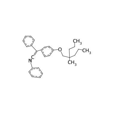 CCCC(C)(CCC)COc1ccc(C(=C=Nc2ccccc2)c2ccccc2)cc1